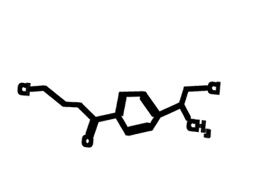 CC(CCl)c1ccc(C(=O)CCCCl)cc1